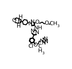 CCOCCCOc1nn(C2CCC(N3[C@@H]4CC[C@H]3COC4)CC2)cc1Nc1ncc(-c2ccc(Cl)c(O[C@@H](C)Cn3cnnn3)c2)cn1